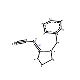 N#C/N=C1\SCCN1Cc1ccccc1